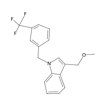 COCc1cn(Cc2cccc(C(F)(F)F)c2)c2cc[c]cc12